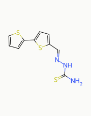 NC(=S)NN=Cc1ccc(-c2cccs2)s1